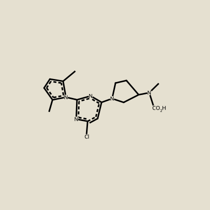 Cc1ccc(C)n1-c1nc(Cl)cc(N2CCC(N(C)C(=O)O)C2)n1